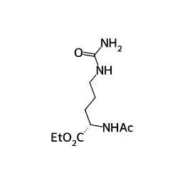 CCOC(=O)[C@H](CCCNC(N)=O)NC(C)=O